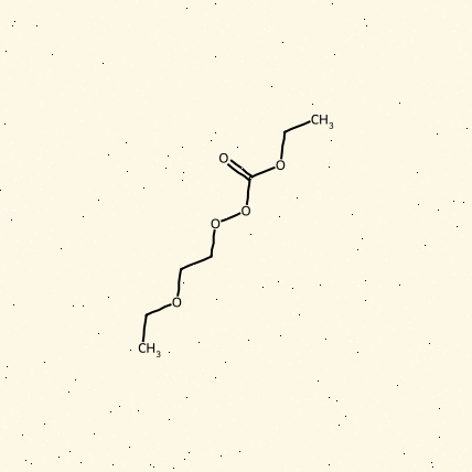 CCOCCOOC(=O)OCC